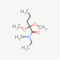 CCCC(OC)(OC)C(=O)N([SiH3])CC